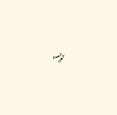 [F][Y].[O]=[Y]